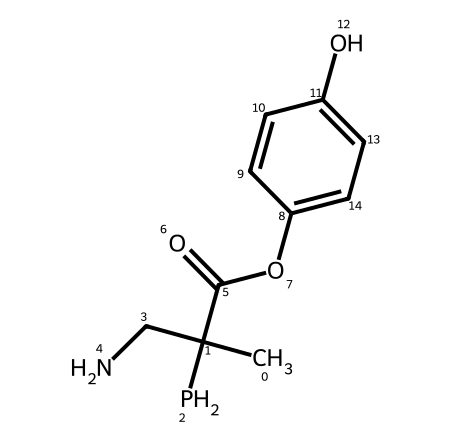 CC(P)(CN)C(=O)Oc1ccc(O)cc1